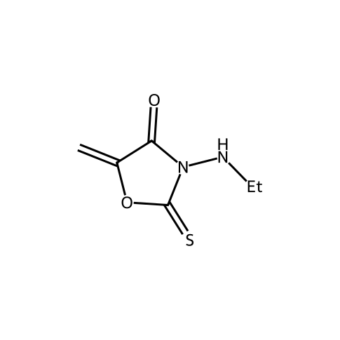 C=C1OC(=S)N(NCC)C1=O